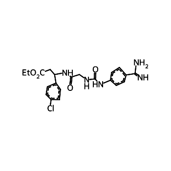 CCOC(=O)CC(NC(=O)CNC(=O)Nc1ccc(C(=N)N)cc1)c1ccc(Cl)cc1